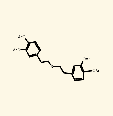 CC(=O)Oc1ccc(CCSCCc2ccc(OC(C)=O)c(OC(C)=O)c2)cc1OC(C)=O